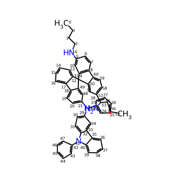 CCCCNc1ccc2c(c1)C1(c3ccccc3-c3ccc(N(c4ccccc4)c4ccc5c(c4)c4ccccc4n5-c4ccccc4)cc31)c1cc(C(N)CCC)ccc1-2